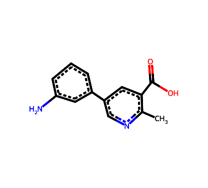 Cc1ncc(-c2cccc(N)c2)cc1C(=O)O